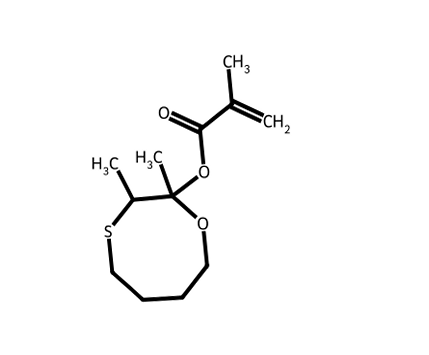 C=C(C)C(=O)OC1(C)OCCCCSC1C